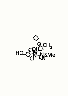 CSc1nccc(-c2nc(-c3c(Cl)cc(CO)cc3Cl)n(O)c2-c2ccc(C)c(OCc3ccccc3)c2)n1